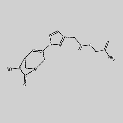 NC(=O)CONCc1ccn(C2=CC3CN(C2)C(=O)N3O)n1